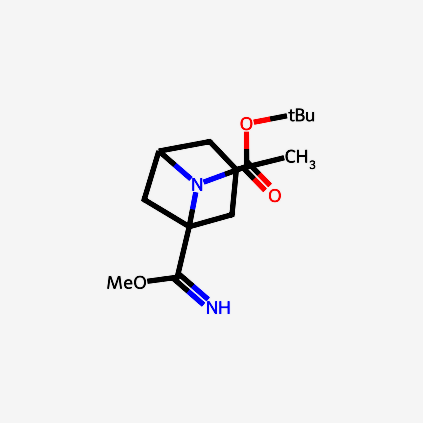 COC(=N)C12CC(C)CC(C1)N2C(=O)OC(C)(C)C